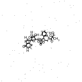 CC(C)(CO)C(=O)SCCOP(=O)(NCc1ccccc1)OC[C@H]1O[C@@H](n2cnc3c(=O)[nH]cnc32)C(C)(O)[C@H]1O